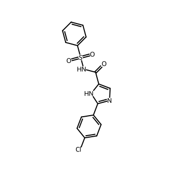 O=C(NS(=O)(=O)c1ccccc1)c1cnc(-c2ccc(Cl)cc2)[nH]1